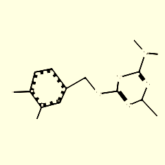 CC1N=C(NCc2ccc(Cl)c(Cl)c2)NC(N(C)C)=N1